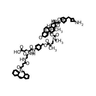 CN(CCN(C)C(=O)O[C@H]1C[C@@]2(C)[C@@H](C[C@H]3O[C@@H](c4ccc(CC56CC(N)(C5)C6)cc4)O[C@]32C(=O)CO)[C@@H]2CCC3=CC(=O)C=C[C@]3(C)[C@H]21)C(=O)OCc1ccc(NC(=O)[C@H](CCC(=O)O)NC(=O)CNC(=O)CCC(=O)N2Cc3ccccc3C#Cc3ccccc32)cc1